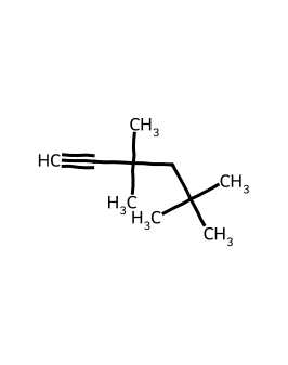 C#CC(C)(C)CC(C)(C)C